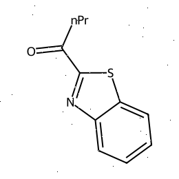 CCCC(=O)c1nc2ccccc2s1